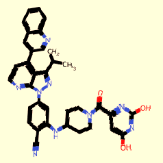 CC(C)c1nn(-c2ccc(C#N)c(NC3CCN(C(=O)c4cc(O)nc(O)n4)CC3)c2)c2nccc(-c3cnc4ccccc4c3)c12